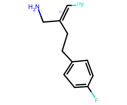 NC/C(=C/[18F])CCc1ccc(F)cc1